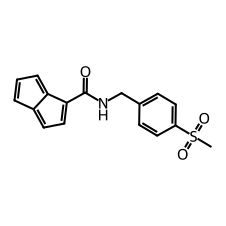 CS(=O)(=O)c1ccc(CNC(=O)C2=CC=C3C=CC=C32)cc1